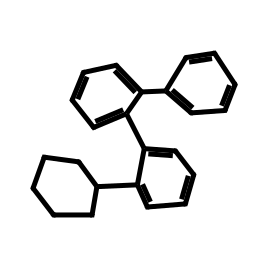 c1ccc(-c2ccccc2-c2ccccc2C2CCCCC2)cc1